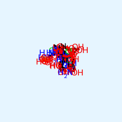 CC(C)C[C@H](C(=O)N[C@H]1C(=O)N[C@@H](CC(N)=O)C(=O)N[C@H]2C(=O)N[C@H]3C(=O)N[C@H](C(=O)N[C@H](C(=O)O)c4cc(O)cc(O)c4-c4cc3ccc4O)[C@H](O[C@H]3C[C@](C)(N)[C@@H](O)[C@H](C)O3)c3ccc(c(Cl)c3)Oc3cc2cc(c3O[C@@H]2O[C@H](CO)[C@@H](O)[C@H](O)[C@H]2O[C@H]2C[C@](C)(NCc3ccc(-c4ccc(Cl)cc4)cc3)[C@@H](O)[C@H](C)O2)Oc2ccc(cc2Cl)[C@H]1O)N(C)C(=O)C(C)NC(=O)C(N)CCC(=O)NC(P(=O)(O)O)P(=O)(O)O